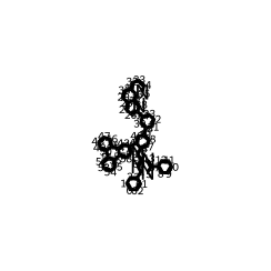 c1ccc(-c2nc(-c3ccccc3)nc(-n3c4ccc(-c5cccc(-c6ccc7ccc8cccnc8c7n6)c5)cc4c4cc5c6ccccc6c6ccccc6c5cc43)n2)cc1